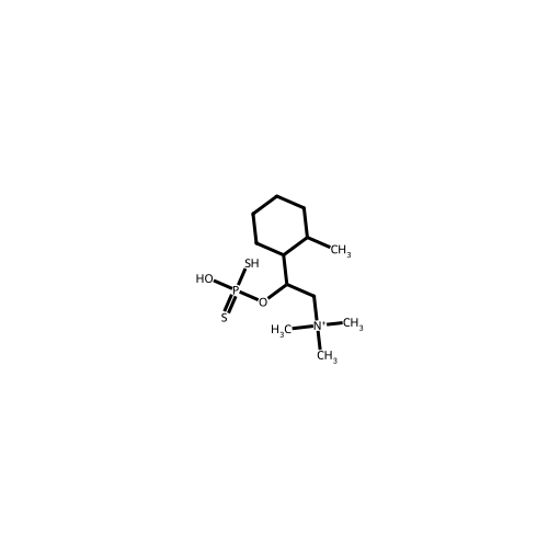 CC1CCCCC1C(C[N+](C)(C)C)OP(O)(=S)S